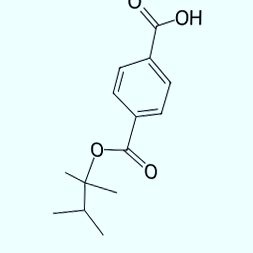 CC(C)C(C)(C)OC(=O)c1ccc(C(=O)O)cc1